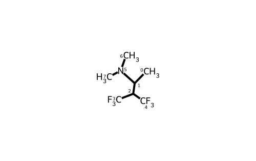 CC(C(C(F)(F)F)C(F)(F)F)N(C)C